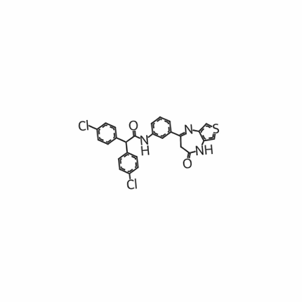 O=C1CC(c2cccc(NC(=O)C(c3ccc(Cl)cc3)c3ccc(Cl)cc3)c2)=Nc2cscc2N1